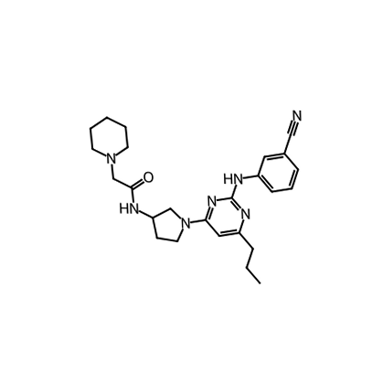 CCCc1cc(N2CCC(NC(=O)CN3CCCCC3)C2)nc(Nc2cccc(C#N)c2)n1